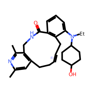 CCN(c1cccc2c1C/C=C/CCc1cc(C)nc(C)c1CNC2=O)C1CCC(O)CC1